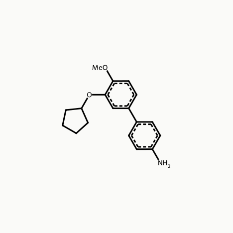 COc1ccc(-c2ccc(N)cc2)cc1OC1CCCC1